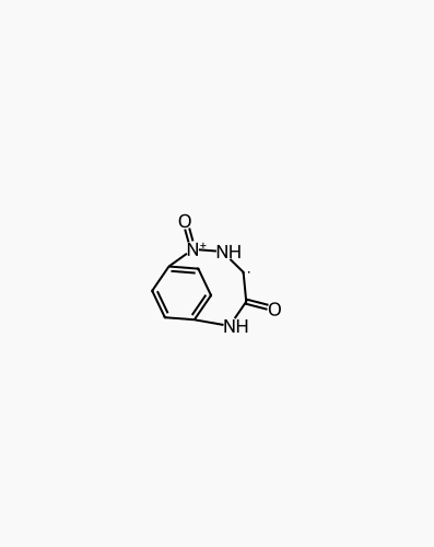 O=C1[CH]N[N+](=O)c2ccc(cc2)N1